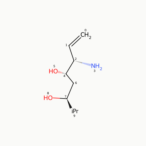 C=C[C@H](N)[C@@H](O)C[C@H](O)C(C)C